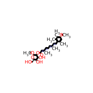 COc1cc(C)c(/C=C/C(C)=C/C=C/C(C)=C/C(=O)O[C@H]2[C@@H](OC)O[C@H](CO)[C@@H](O)[C@@H]2O)c(C)c1C